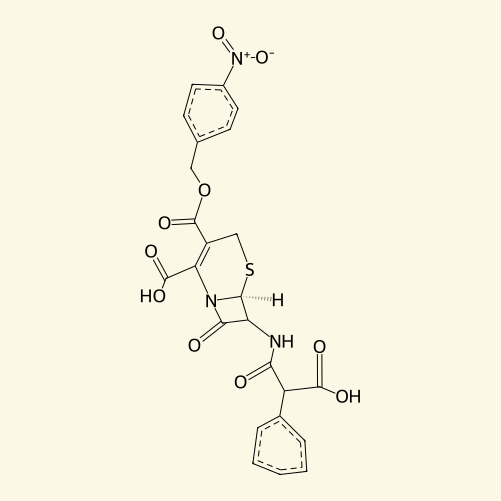 O=C(O)C1=C(C(=O)OCc2ccc([N+](=O)[O-])cc2)CS[C@H]2C(NC(=O)C(C(=O)O)c3ccccc3)C(=O)N12